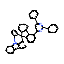 c1ccc(-c2cc(-c3cccc4c3-c3ccccc3C43c4ccccc4-n4c5ccccc5c5cccc3c54)nc(-c3ccccc3)n2)cc1